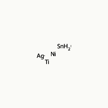 [Ag].[Ni].[SnH2].[Ti]